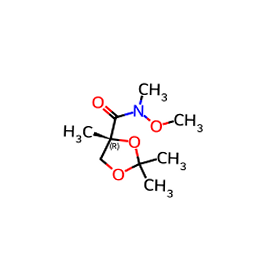 CON(C)C(=O)[C@@]1(C)COC(C)(C)O1